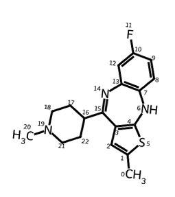 Cc1cc2c(s1)Nc1ccc(F)cc1N=C2C1CCN(C)CC1